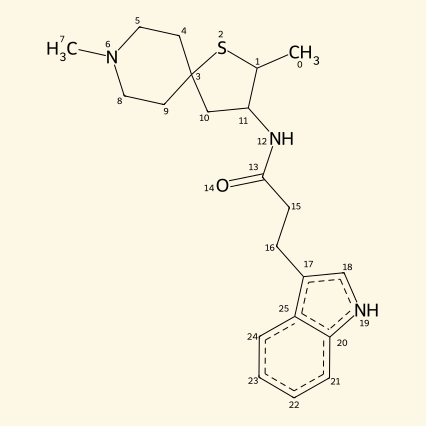 CC1SC2(CCN(C)CC2)CC1NC(=O)CCc1c[nH]c2ccccc12